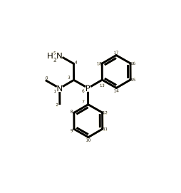 CN(C)C(CN)P(c1ccccc1)c1ccccc1